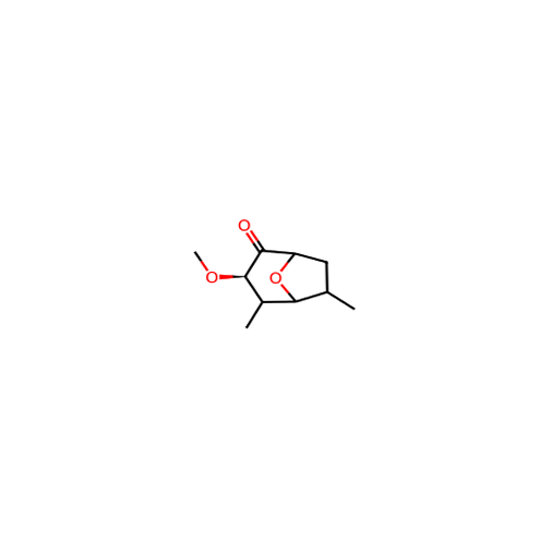 CO[C@H]1C(=O)C2CC(C)C(O2)C1C